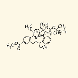 CCC(=O)C1c2ccc(C(=O)OC)cc2CC(c2c[nH]c3ccccc23)N1NC(=O)C(C)(C)NC(=O)OC(C)(C)C